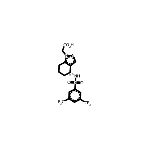 O=C(O)Cn1ncc2c1CCC[C@H]2NS(=O)(=O)c1cc(C(F)(F)F)cc(C(F)(F)F)c1